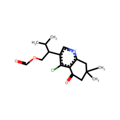 CC(C)C(COC=O)c1cnc2c(c1Cl)C(=O)CC(C)(C)C2